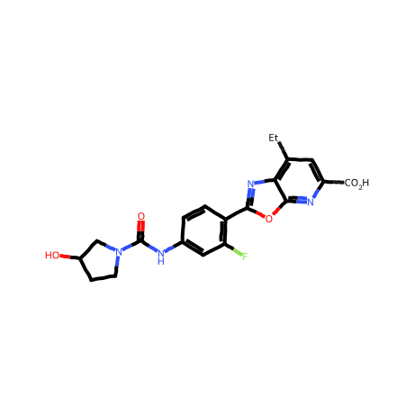 CCc1cc(C(=O)O)nc2oc(-c3ccc(NC(=O)N4CCC(O)C4)cc3F)nc12